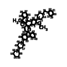 COc1cc2c3c(c4c(c2cc1N1CCC(Cc2ccccc2)CC1)-c1ccccc1C4(C)C)C=CC(c1ccccc1)(c1ccc(N2CCC(N4CCCCC4)CC2)cc1)O3